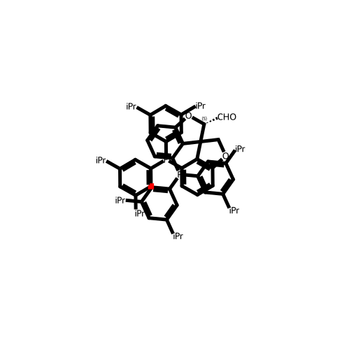 CC(C)c1cc(C(C)C)cc(P(c2cc(C(C)C)cc(C(C)C)c2)c2cccc3c2C2(CO3)c3c(cccc3P(c3cc(C(C)C)cc(C(C)C)c3)c3cc(C(C)C)cc(C(C)C)c3)O[C@@H]2C=O)c1